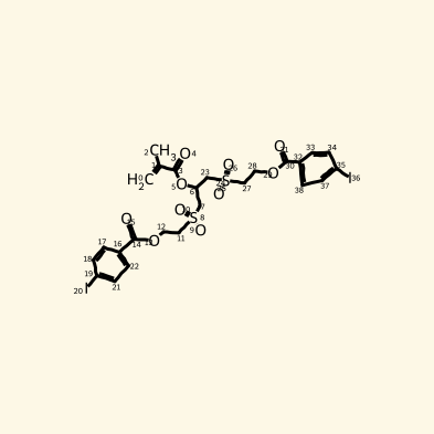 C=C(C)C(=O)OC(CS(=O)(=O)CCOC(=O)c1ccc(I)cc1)CS(=O)(=O)CCOC(=O)c1ccc(I)cc1